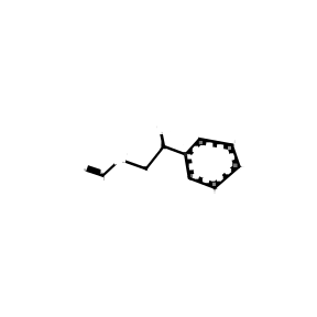 O=C(O)C(CSC=S)c1ccccc1